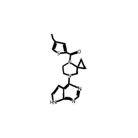 Cc1csc(C(=O)N2CCN(c3ncnc4[nH]ccc34)CC23CC3)c1